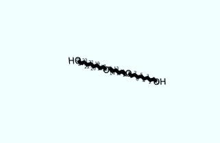 OCCCCCCCCOC=CCCC=COCCCCCCCCO